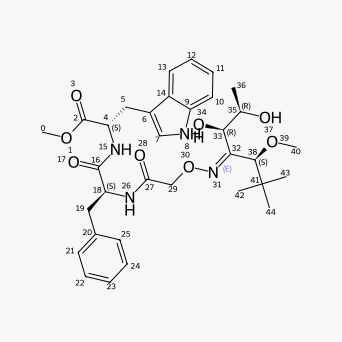 COC(=O)[C@H](Cc1c[nH]c2ccccc12)NC(=O)[C@H](Cc1ccccc1)NC(=O)CO/N=C(\[C@@H](O)[C@@H](C)O)[C@@H](OC)C(C)(C)C